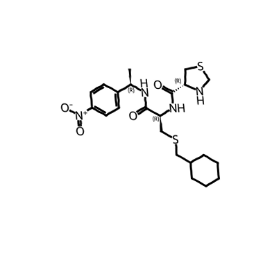 C[C@@H](NC(=O)[C@H](CSCC1CCCCC1)NC(=O)[C@@H]1CSCN1)c1ccc([N+](=O)[O-])cc1